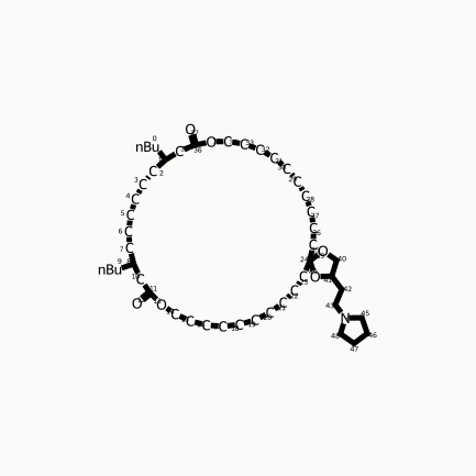 CCCCC1CCCCCCC(CCCC)CC(=O)OCCCCCCCCCCC2(CCCCCCCCCCOC(=O)C1)OCC(CCN1CCCC1)O2